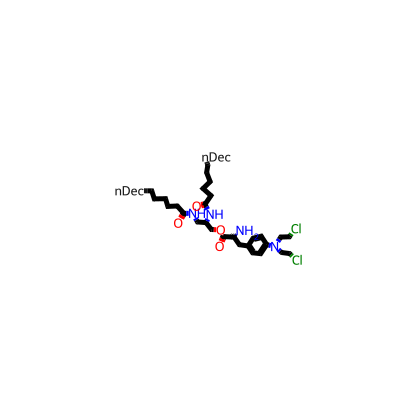 CCCCCCCCCCCCCCCC(=O)NCC(COC(=O)[C@@H](N)Cc1ccc(N(CCCl)CCCl)cc1)NC(=O)CCCCCCCCCCCCCCC